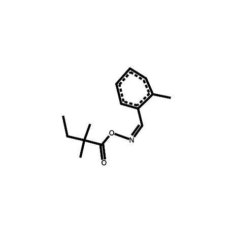 CCC(C)(C)C(=O)O/N=C\c1ccccc1C